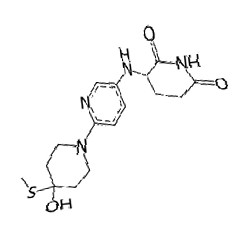 CSC1(O)CCN(c2ccc(NC3CCC(=O)NC3=O)cn2)CC1